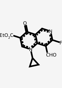 CCOC(=O)c1cn(C2CC2)c2c(C=O)c(F)ncc2c1=O